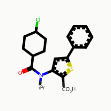 CC(C)N(C(=O)C1CCC(Cl)CC1)c1cc(-c2ccccc2)sc1C(=O)O